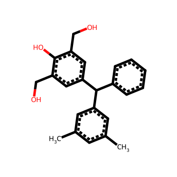 Cc1cc(C)cc(C(c2ccccc2)c2cc(CO)c(O)c(CO)c2)c1